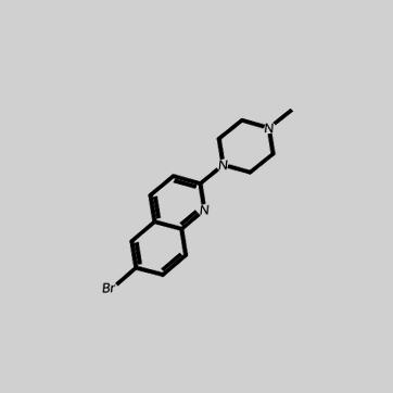 CN1CCN(c2ccc3cc(Br)ccc3n2)CC1